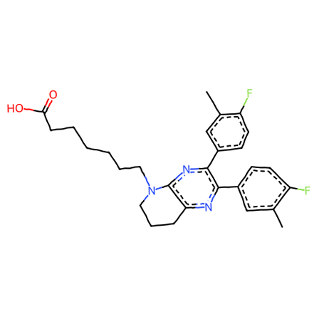 Cc1cc(-c2nc3c(nc2-c2ccc(F)c(C)c2)N(CCCCCCC(=O)O)CCC3)ccc1F